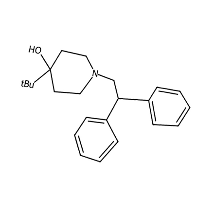 CC(C)(C)C1(O)CCN(CC(c2ccccc2)c2ccccc2)CC1